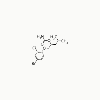 CC(C)C[C@@H](COc1ccc(Br)cc1Cl)OC(N)=O